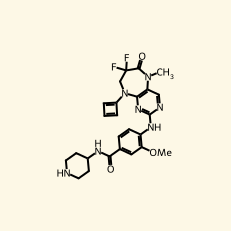 COc1cc(C(=O)NC2CCNCC2)ccc1Nc1ncc2c(n1)N(C1=CC=C1)CC(F)(F)C(=O)N2C